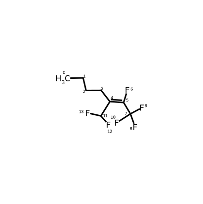 CCCCC(=C(F)C(F)(F)F)C(F)F